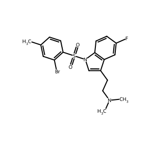 Cc1ccc(S(=O)(=O)n2cc(CCN(C)C)c3cc(F)ccc32)c(Br)c1